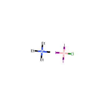 CC[N+](C)(CC)CC.Cl[B-](I)(I)I